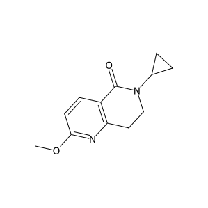 COc1ccc2c(n1)CCN(C1CC1)C2=O